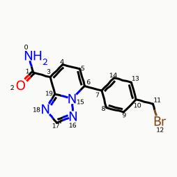 NC(=O)c1ccc(-c2ccc(CBr)cc2)n2n[c]nc12